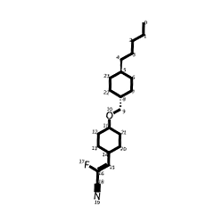 CCCCC[C@H]1CC[C@H](COC2CCC(C=C(F)C#N)CC2)CC1